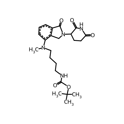 CN(CCCCNC(=O)OC(C)(C)C)c1cccc2c1CN(C1CCC(=O)NC1=O)C2=O